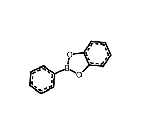 c1ccc(B2Oc3ccccc3O2)cc1